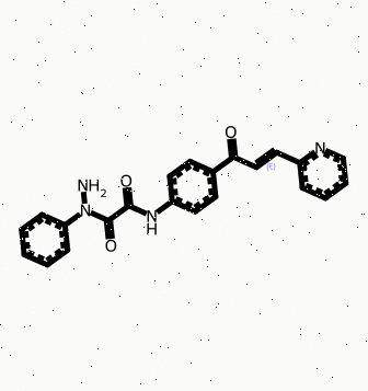 NN(C(=O)C(=O)Nc1ccc(C(=O)/C=C/c2ccccn2)cc1)c1ccccc1